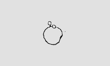 C[C@@H]1/C=C/CCCCCCCCCC(=O)OCC1